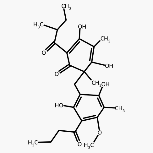 CCCC(=O)c1c(O)c(CC2(C)C(=O)C(C(=O)C(C)CC)=C(O)C(C)=C2O)c(O)c(C)c1OC